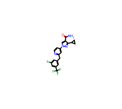 NC(=O)c1cn(-c2ccnc(Cc3cc(F)cc(C(F)(F)F)c3)c2)nc1C1CC1